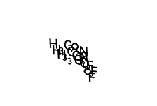 Cc1cccc([C@H](C)c2nccn2C(=O)OCc2ccc(F)c(F)c2F)c1C